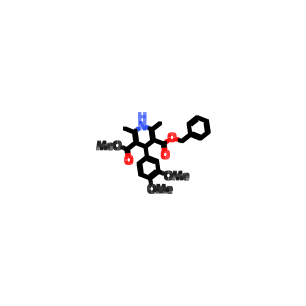 COC(=O)C1=C(C)NC(C)=C(C(=O)OCc2ccccc2)C1c1ccc(OC)c(OC)c1